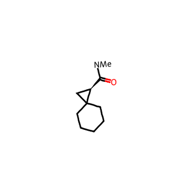 CNC(=O)[C@@H]1CC12CCCCC2